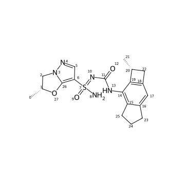 C[C@@H]1Cn2ncc(S(N)(=O)=NC(=O)Nc3c4c(cc5c3[C@H](C)C5)CCC4)c2O1